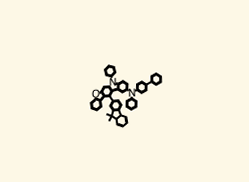 CC1(C)c2cc(-c3c4c(cc5c3c3cc(N(c6ccccc6)c6ccc(-c7ccccc7)cc6)ccc3n5-c3ccccc3)oc3ccccc34)ccc2C2C=CC=CC21